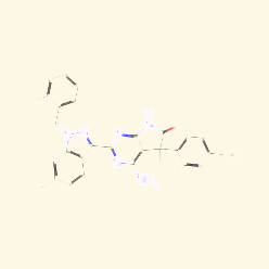 CC1(c2ccc(O)cc2)C(=O)Nc2nc(-c3nn(Cc4ccccc4F)c4cc(Cl)ccc34)nc(N)c21